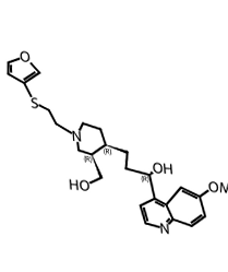 COc1ccc2nccc([C@H](O)CC[C@@H]3CCN(CCSc4ccoc4)C[C@@H]3CO)c2c1